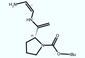 C=C(N/C=C\N)[C@H]1CCCN1C(=O)OC(C)(C)C